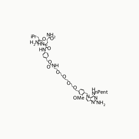 CCCCCNc1nc(N)nc2ccn(Cc3ccc(COCCOCCOCCOCCNC(=O)OCc4ccc(NC(=O)[C@H](CCC(N)=O)NC(=O)[C@@H](N)CC(C)C)cc4)cc3OC)c12